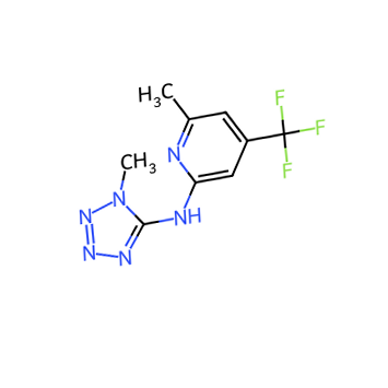 Cc1cc(C(F)(F)F)cc(Nc2nnnn2C)n1